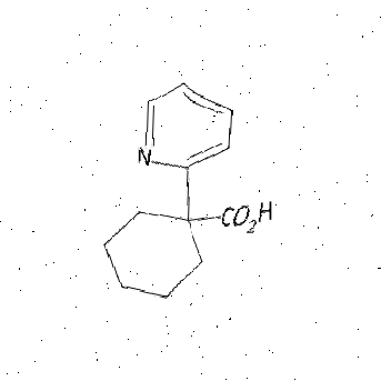 O=C(O)C1(c2ccccn2)CCCCC1